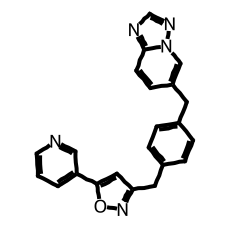 c1cncc(-c2cc(Cc3ccc(Cc4ccc5ncnn5c4)cc3)no2)c1